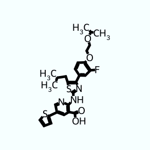 CC(C)Cc1sc(Nc2ncc(-c3cccs3)cc2C(=O)O)nc1-c1ccc(OCCOC(C)C)c(F)c1